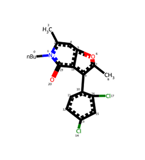 CCCCn1c(C)cc2oc(C)c(-c3ccc(Cl)cc3Cl)c2c1=O